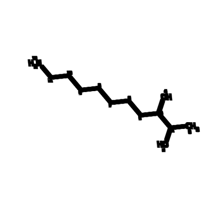 CC(O)C(O)CCCCCCCN